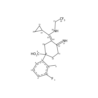 Cc1c(F)cccc1C1(C(=O)O)CCC(=N)/C(=C(\NCC(F)(F)F)C2CC2)C1